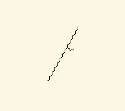 CCCCCCCCCCCCCCCCC(O)CCCCCCCCC